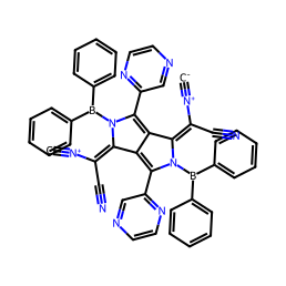 [C-]#[N+]/C(C#N)=c1/c2c(-c3cnccn3)n(B(c3ccccc3)c3ccccc3)/c(=C(\C#N)[N+]#[C-])c2c(-c2cnccn2)n1B(c1ccccc1)c1ccccc1